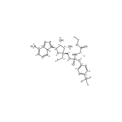 CCOC(=O)[C@H](C)NP(=O)(OC[C@@]1(CF)O[C@@H](c2ccc3c(N)ncnn23)[C@H](O)[C@@H]1O)Oc1ccc(C(C)(C)C)cc1